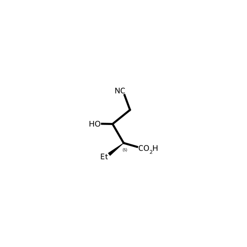 CC[C@H](C(=O)O)C(O)CC#N